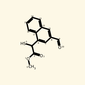 COC(=O)C(S)c1cc(C=O)cc2ccccc12